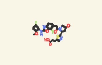 COc1ccc(F)cc1Nc1nc2ccc(CC(=O)N3C[C@@H](OC)C[C@H]3c3ncc(CCC(=O)O)s3)c(F)c2o1